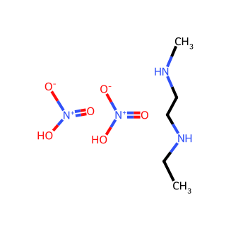 CCNCCNC.O=[N+]([O-])O.O=[N+]([O-])O